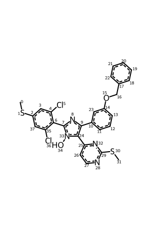 CSc1cc(Cl)c(-c2nc(-c3cccc(OCc4ccccc4)c3)c(-c3ccnc(SC)n3)n2O)c(Cl)c1